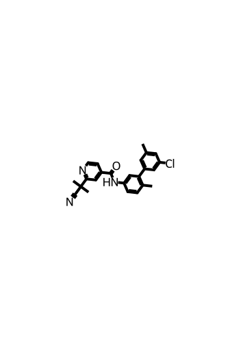 Cc1cc(Cl)cc(-c2cc(NC(=O)c3ccnc(C(C)(C)C#N)c3)ccc2C)c1